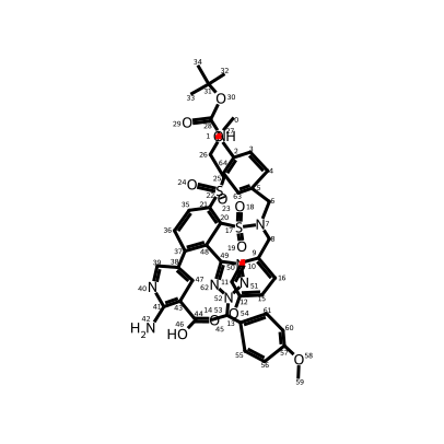 COc1ccc(CN(Cc2ccc(OC)cc2)S(=O)(=O)c2c(S(=O)(=O)CCNC(=O)OC(C)(C)C)ccc(-c3cnc(N)c(C(=O)O)c3)c2-c2nnn(Cc3ccc(OC)cc3)n2)cc1